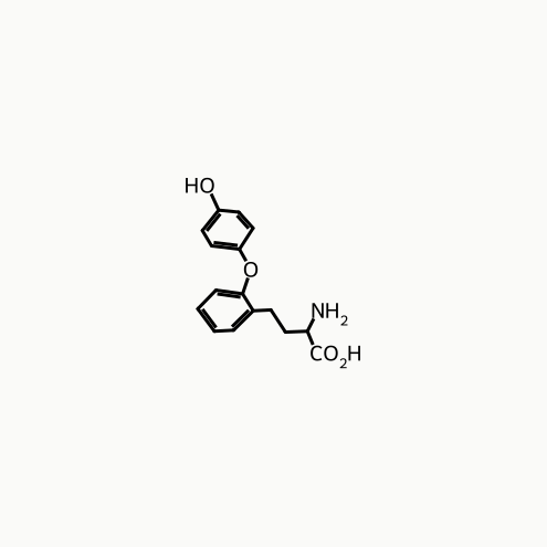 NC(CCc1ccccc1Oc1ccc(O)cc1)C(=O)O